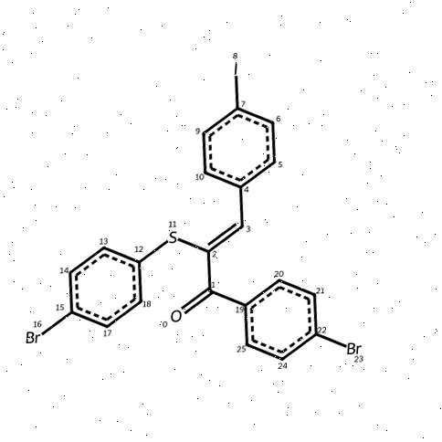 O=C(C(=Cc1ccc(I)cc1)Sc1ccc(Br)cc1)c1ccc(Br)cc1